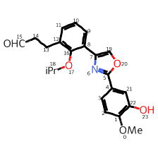 COc1ccc(-c2nc(-c3cccc(CCC=O)c3OC(C)C)co2)cc1O